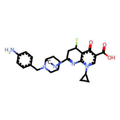 Nc1ccc(CN2CC3CCC2CN3C2=Nc3c(c(=O)c(C(=O)O)cn3C3CC3)C(F)C2)cc1